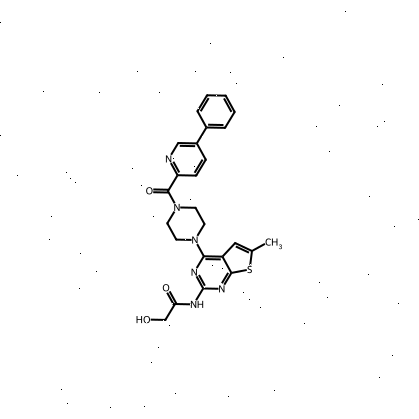 Cc1cc2c(N3CCN(C(=O)c4ccc(-c5ccccc5)cn4)CC3)nc(NC(=O)CO)nc2s1